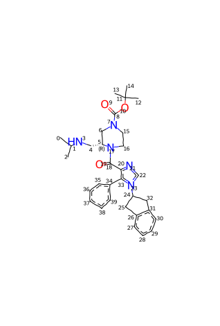 CC(C)NC[C@@H]1CN(C(=O)OC(C)(C)C)CCN1C(=O)c1ncn(C2Cc3ccccc3C2)c1-c1ccccc1